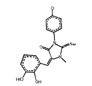 CN1C(=[Se])N(c2ccc(Cl)cc2)C(=O)C1=Cc1cccc(O)c1O